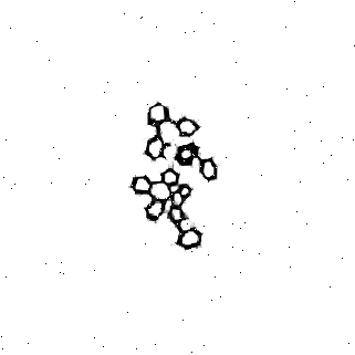 c1ccc(-c2cccc(N(c3ccc4c(c3)-c3ccccc3-c3ccccc3C43c4ccccc4-c4c3ccc3c4sc4ccccc43)c3cccc4c3N(c3ccccc3)c3ccccc3-c3ccccc3-4)c2)cc1